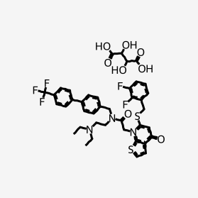 CCN(CC)CCN(Cc1ccc(-c2ccc(C(F)(F)F)cc2)cc1)C(=O)Cn1c(SCc2cccc(F)c2F)cc(=O)c2ccsc21.O=C(O)C(O)C(O)C(=O)O